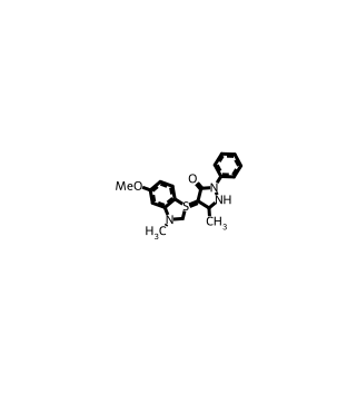 COc1ccc2c(c1)N(C)CS2=C1C(=O)N(c2ccccc2)NC1C